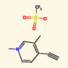 C#Cc1cc[n+](C)cc1C.O=S(=O)([O-])C(F)(F)F